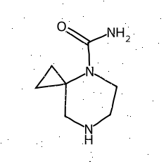 NC(=O)N1CCNCC12CC2